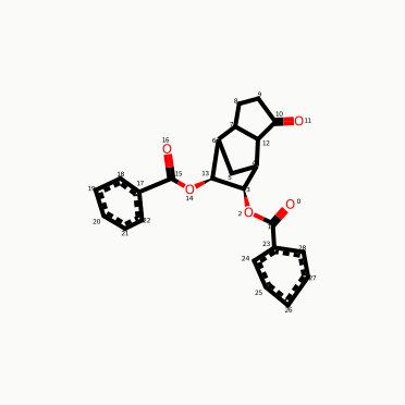 O=C(O[C@@H]1C2CC(C3CCC(=O)C32)[C@@H]1OC(=O)c1ccccc1)c1ccccc1